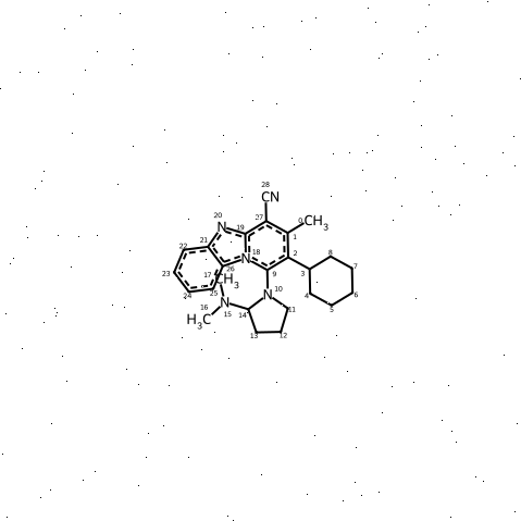 Cc1c(C2CCCCC2)c(N2CCCC2N(C)C)n2c(nc3ccccc32)c1C#N